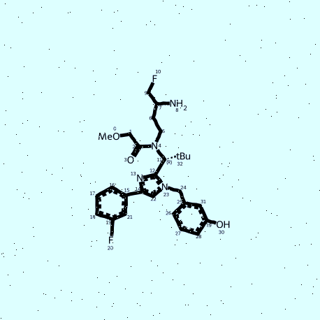 COCC(=O)N(CCC(N)CF)[C@@H](c1nc(-c2cccc(F)c2)cn1Cc1cccc(O)c1)C(C)(C)C